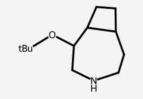 CC(C)(C)OC1CNCCC2CCC21